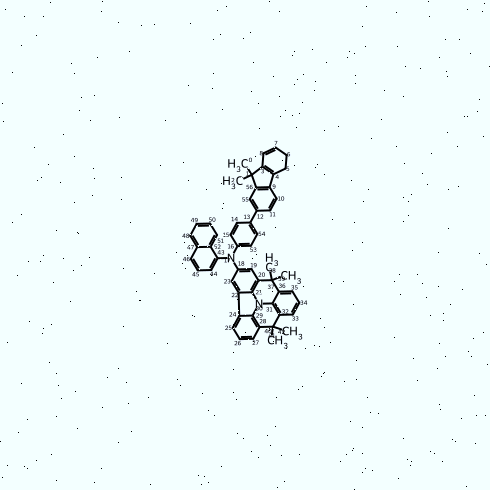 CC1(C)C2=C(CCC=C2)c2ccc(-c3ccc(N(c4cc5c6c(c4)c4cccc7c4n6-c4c(cccc4C5(C)C)C7(C)C)c4cccc5ccccc45)cc3)cc21